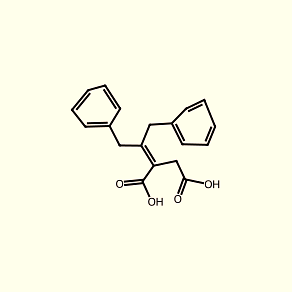 O=C(O)CC(C(=O)O)=C(Cc1ccccc1)Cc1ccccc1